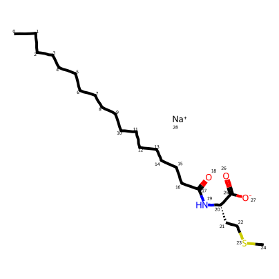 CCCCCCCCCCCCCCCCCC(=O)N[C@@H](CCSC)C(=O)[O-].[Na+]